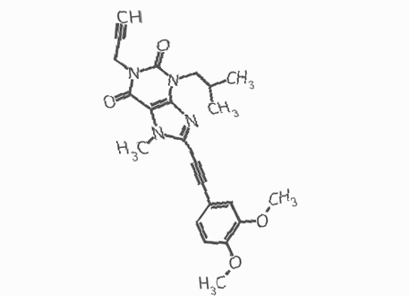 C#CCn1c(=O)c2c(nc(C#Cc3ccc(OC)c(OC)c3)n2C)n(CC(C)C)c1=O